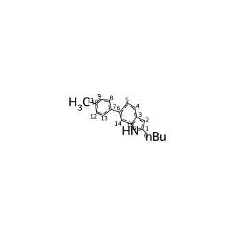 CCCCc1cc2ccc(-c3ccc(C)cc3)cc2[nH]1